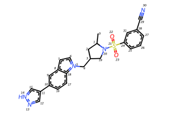 CC1CC(Cn2ccc3cc(-c4cn[nH]c4)ccc32)CN1S(=O)(=O)c1cccc(C#N)c1